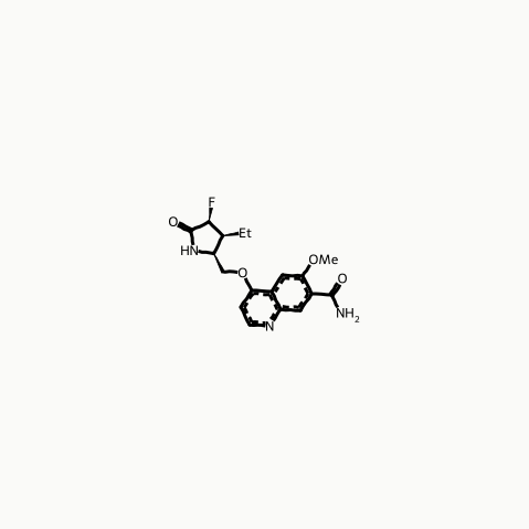 CC[C@@H]1[C@H](F)C(=O)N[C@@H]1COc1ccnc2cc(C(N)=O)c(OC)cc12